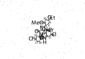 CCOc1ccc(-c2nc3c(n2C(C)C)C2(C(=O)Nc4cc(Cl)ccc42)N(c2cccc(Cl)c2)C3=O)c(OC)c1